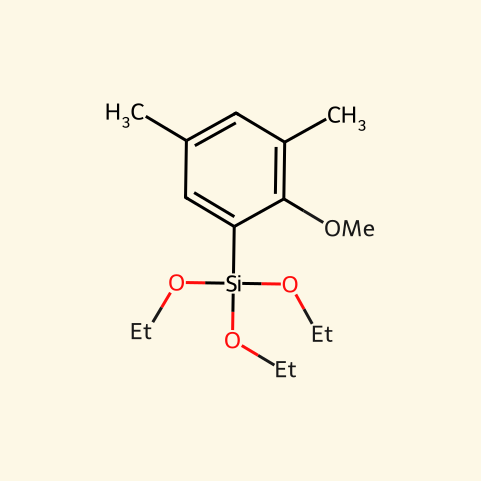 CCO[Si](OCC)(OCC)c1cc(C)cc(C)c1OC